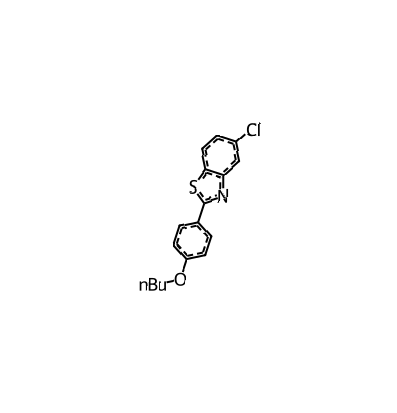 CCCCOc1ccc(-c2nc3cc(Cl)ccc3s2)cc1